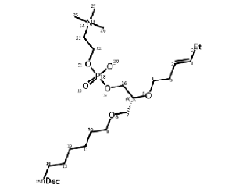 CCC=CCCO[C@H](COCCCCCCCCCCCCCCCC)COP(=O)([O-])OCC[N+](C)(C)C